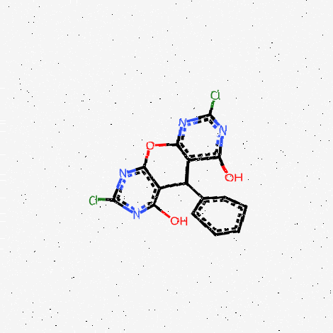 Oc1nc(Cl)nc2c1C(c1ccccc1)c1c(O)nc(Cl)nc1O2